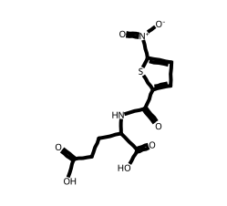 O=C(O)CCC(NC(=O)c1ccc([N+](=O)[O-])s1)C(=O)O